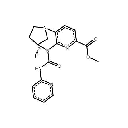 COC(=O)c1ccc2c(n1)N(C(=O)Nc1ccccn1)[C@H]1CCN2C1